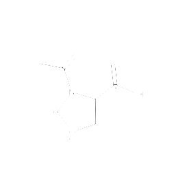 CC(=O)N1COCC1C(=O)O